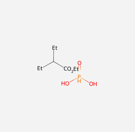 CCOC(=O)C(CC)CC.O=[PH](O)O